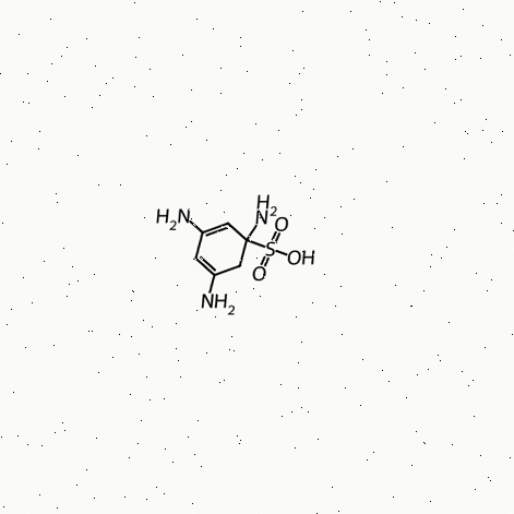 NC1=CC(N)(S(=O)(=O)O)CC(N)=C1